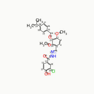 COc1ccc(/C=N/NC(=O)c2ccc(O)c(Cl)c2)c(OC)c1OCc1ccc(C(C)C)cc1